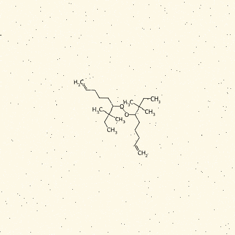 C=CCCCC(OOC(CCCC=C)C(C)(C)CC)C(C)(C)CC